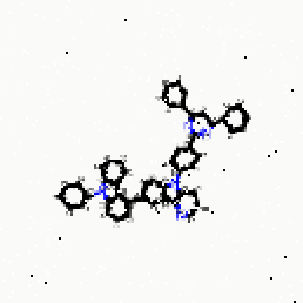 c1ccc(-c2cc(-c3ccccc3)nc(-c3ccc(-n4c5ccc(-c6cccc7c6c6ccccc6n7-c6ccccc6)cc5c5ncccc54)cc3)n2)cc1